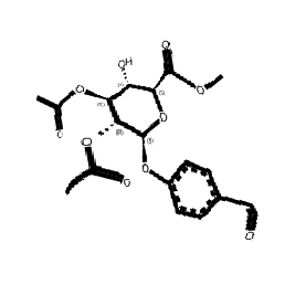 COC(=O)[C@H]1O[C@@H](Oc2ccc(C=O)cc2)[C@H](OC(C)=O)[C@@H](OC(C)=O)[C@@H]1O